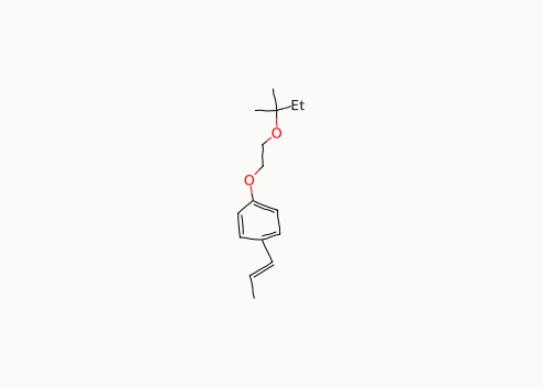 C/C=C/c1ccc(OCCOC(C)(C)CC)cc1